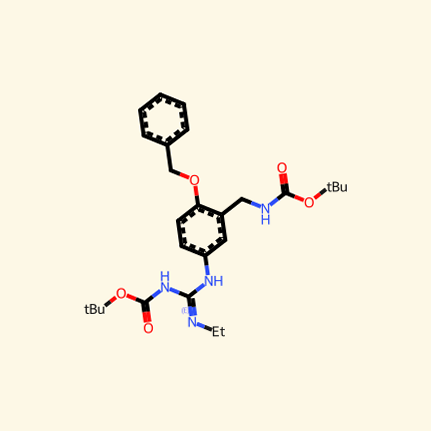 CC/N=C(/NC(=O)OC(C)(C)C)Nc1ccc(OCc2ccccc2)c(CNC(=O)OC(C)(C)C)c1